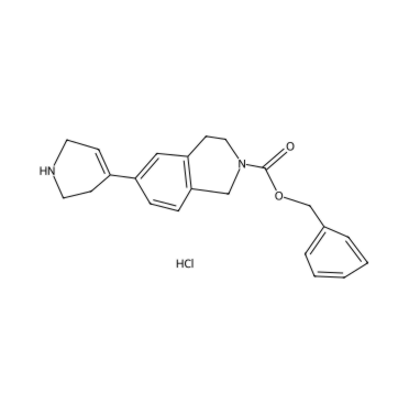 Cl.O=C(OCc1ccccc1)N1CCc2cc(C3=CCNCC3)ccc2C1